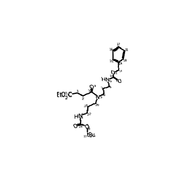 CCOC(=O)CCC(=O)N(CCCNC(=O)OCc1ccccc1)CCCNC(=O)OC(C)(C)C